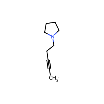 [CH2]C#CCCN1CCCC1